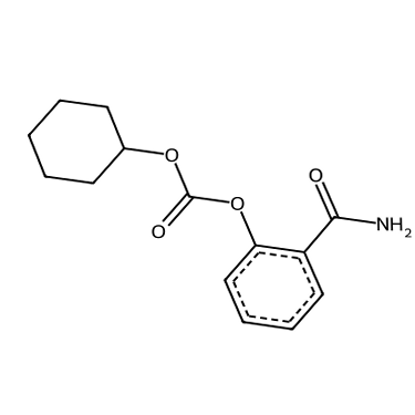 NC(=O)c1ccccc1OC(=O)OC1CCCCC1